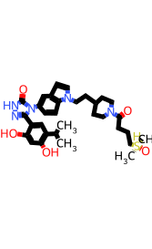 CC(C)c1cc(-c2n[nH]c(=O)n2-c2ccc3c(ccn3CCC3CCN(C(=O)CCC[SH](C)(C)=O)CC3)c2)c(O)cc1O